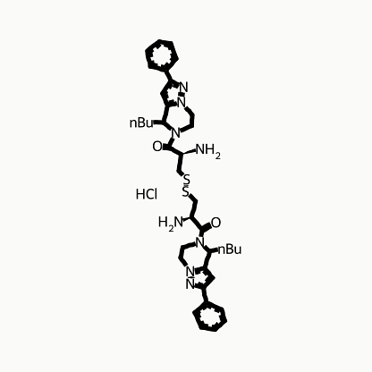 CCCCC1c2cc(-c3ccccc3)nn2CCN1C(=O)[C@@H](N)CSSC[C@H](N)C(=O)N1CCn2nc(-c3ccccc3)cc2C1CCCC.Cl